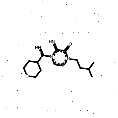 CC(C)CCn1ccn(C(=N)C2CCOCC2)c(=N)c1=O